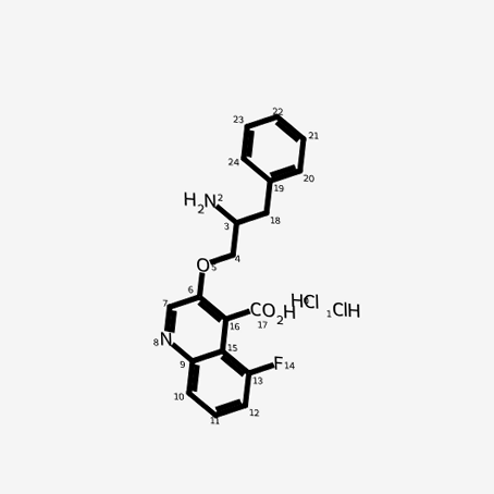 Cl.Cl.NC(COc1cnc2cccc(F)c2c1C(=O)O)Cc1ccccc1